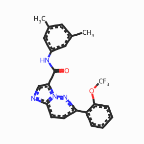 Cc1cc(C)cc(NC(=O)c2cnc3ccc(-c4ccccc4OC(F)(F)F)nn23)c1